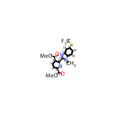 COC(=O)c1ccc(C(=O)OC)c(-c2nc3cc(SC(F)(F)F)ccc3n2C)n1